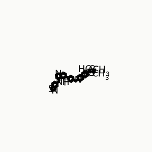 CC(C)(C)OC(=O)N1CCC2(CCN(Cc3ccc(-c4ccc5nccc(Nc6ccc7scnc7c6)c5c4)c(F)c3)CC2)CC1